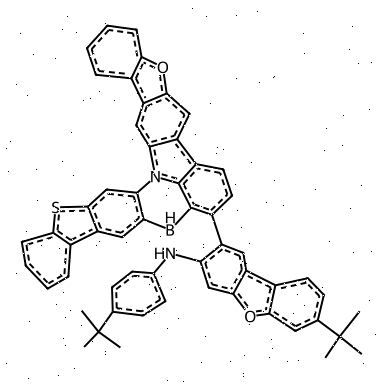 CC(C)(C)c1ccc(Nc2cc3oc4cc(C(C)(C)C)ccc4c3cc2-c2ccc3c4cc5oc6ccccc6c5cc4n4c3c2Bc2cc3c(cc2-4)sc2ccccc23)cc1